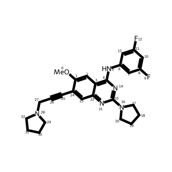 COc1cc2c(Nc3cc(F)cc(F)c3)nc(N3CCCC3)nc2cc1C#CCN1CCCC1